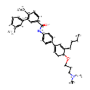 CCCN(C)CCCOC1CC=C(c2ccc(NC(=O)c3ccc(OC)c(-c4cccc(OC)c4)c3)cc2)C=C1CCCC(C)C